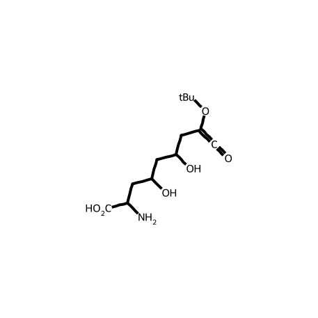 CC(C)(C)OC(=C=O)CC(O)CC(O)CC(N)C(=O)O